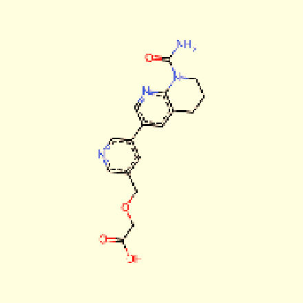 NC(=O)N1CCCc2cc(-c3cncc(COCC(=O)O)c3)cnc21